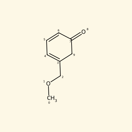 COCC1=CC=[C]C(=O)C1